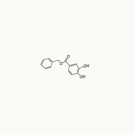 O=C(OCc1ccccc1)c1ccc(O)c(O)c1